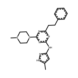 Cc1cc(Nc2nc(CCc3ccccc3)nc(N3CCN(C)CC3)n2)n[nH]1